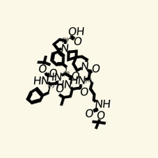 CC(C)CC(NC(=O)[C@@H](Cc1ccccc1)NC(=O)[C@@H](Cc1ccccc1)NC(=O)OC(C)(C)C)C(=O)N[C@H](CCCCNC(=O)OC(C)(C)C)C(=O)N1CCC2(CC1)CC(N1CCC[C@@H]1C(=O)O)C2